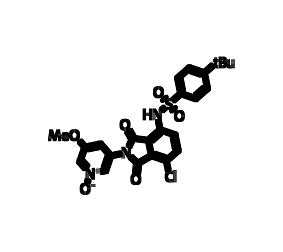 COc1cc(N2C(=O)c3c(Cl)ccc(NS(=O)(=O)c4ccc(C(C)(C)C)cc4)c3C2=O)c[n+]([O-])c1